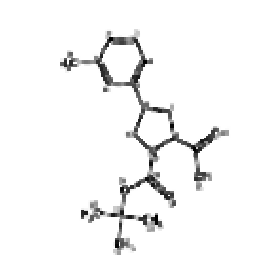 Cc1cccc(C2CC(C(=O)O)N(C(=O)OC(C)(C)C)C2)c1